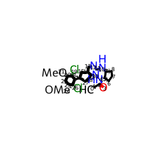 C#CC(=O)N[C@H]1CCC[C@H]1Nc1ncc2cc(-c3c(Cl)c(OC)cc(OC)c3Cl)ccc2n1